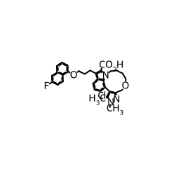 Cc1c2c(nn1C)COCCCCn1c(C(=O)O)c(CCCOc3cccc4cc(F)ccc34)c3ccc(Cl)c-2c31